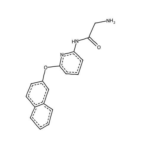 NCC(=O)Nc1cccc(Oc2ccc3ccccc3c2)n1